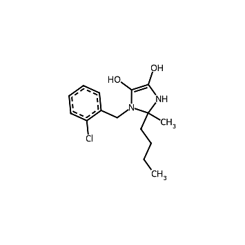 CCCCC1(C)NC(O)=C(O)N1Cc1ccccc1Cl